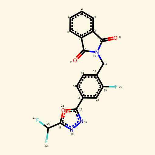 O=C1c2ccccc2C(=O)N1Cc1ccc(-c2nnc(C(F)F)o2)cc1F